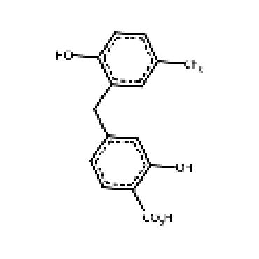 O=C(O)c1ccc(Cc2cc(C(F)(F)F)ccc2O)cc1O